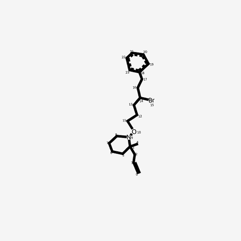 C=CCC1(C)CCCCN1OCCCC(Br)CCc1ccccc1